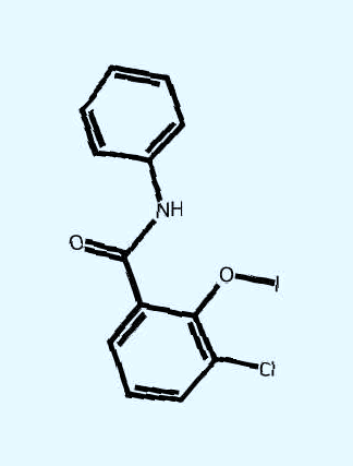 O=C(Nc1ccccc1)c1cccc(Cl)c1OI